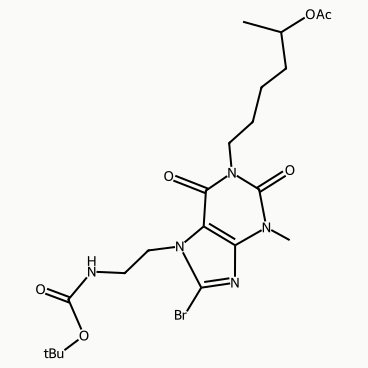 CC(=O)OC(C)CCCCn1c(=O)c2c(nc(Br)n2CCNC(=O)OC(C)(C)C)n(C)c1=O